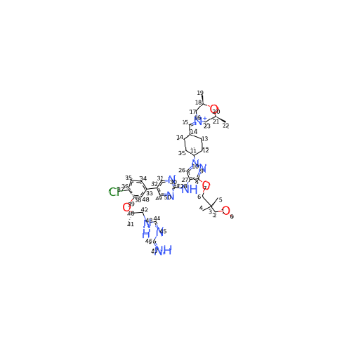 COCC(C)(C)COc1nn(C2CCC(/C=[N+]3/C[C@@H](C)O[C@@H](C)C3)CC2)cc1Nc1ncc(-c2ccc(Cl)c(O[C@@H](C)CN/C=N\C=N)c2)cn1